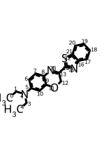 CCN(CC)c1ccc2c(c1)OCC(c1nc3ccccc3s1)=N2